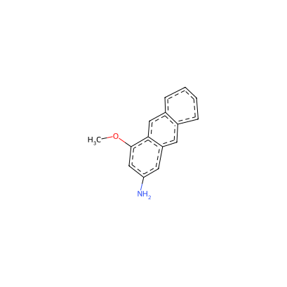 COc1cc(N)cc2cc3ccccc3cc12